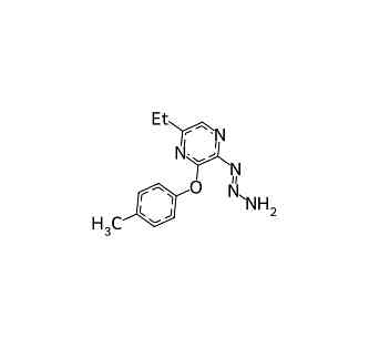 CCc1cnc(N=NN)c(Oc2ccc(C)cc2)n1